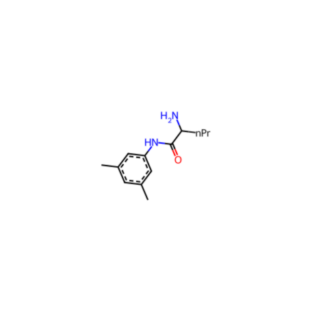 CCCC(N)C(=O)Nc1cc(C)cc(C)c1